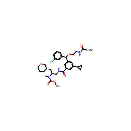 COC(=O)NCCOC(c1cccc(Cl)c1)c1cc(C(=O)NCC(C[C@H]2CCCOC2)N(C)C(=O)OC(C)(C)C)cc(C2CC2)c1